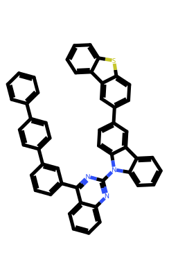 c1ccc(-c2ccc(-c3cccc(-c4nc(-n5c6ccccc6c6cc(-c7ccc8sc9ccccc9c8c7)ccc65)nc5ccccc45)c3)cc2)cc1